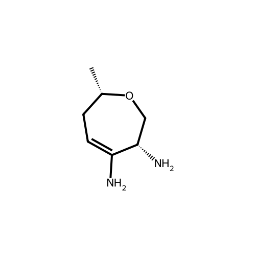 C[C@H]1CC=C(N)[C@@H](N)CO1